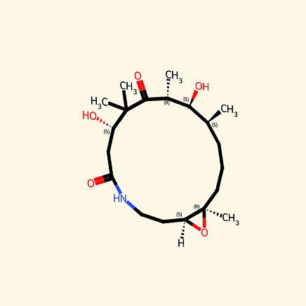 C[C@H]1CCC[C@@]2(C)O[C@H]2CCNC(=O)C[C@H](O)C(C)(C)C(=O)[C@H](C)[C@H]1O